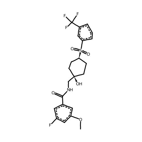 COc1cc(F)cc(C(=O)NC[C@]2(O)CC[C@@H](S(=O)(=O)c3cccc(C(F)(F)F)c3)CC2)c1